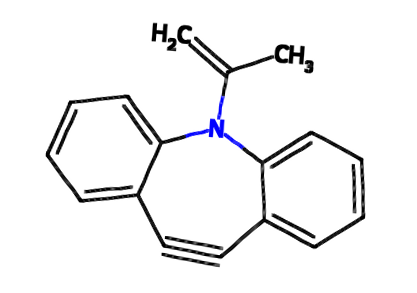 C=C(C)N1c2ccccc2C#Cc2ccccc21